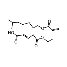 C=CC(=O)OCCCCCC(C)C.CCOC(=O)CC=CC(=O)O